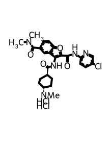 CN[C@H]1CC[C@H](C(=O)Nc2c(C(=O)Nc3ccc(Cl)cn3)oc3ccc(C(=O)N(C)C)cc23)CC1.Cl.Cl